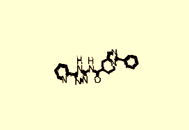 O=C(Nc1nnc(-c2ccccn2)[nH]1)C1CCn2c(cnc2-c2ccccc2)C1